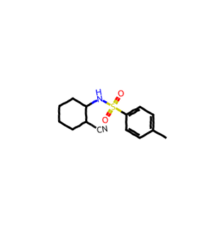 Cc1ccc(S(=O)(=O)NC2CCCCC2C#N)cc1